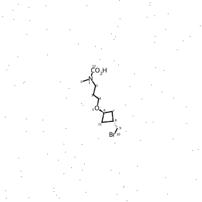 CN(CCCO[C@H]1C[C@H](CBr)C1)C(=O)O